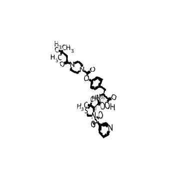 CC(C)(C)CC(=O)N1CCN(C(=O)Oc2ccc(C[C@H](NC(=O)[C@H]3N(S(=O)(=O)c4cccnc4)CSC3(C)C)C(=O)O)cc2)CC1